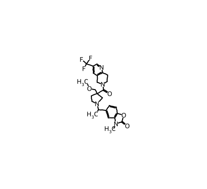 COCC1(C(=O)N2CCc3ncc(C(F)(F)F)cc3C2)CCN(C(C)c2ccc3oc(=O)n(C)c3c2)C1